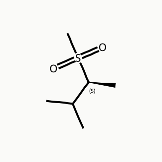 CC(C)[C@H](C)S(C)(=O)=O